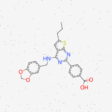 CCCc1cc2c(NCc3ccc4c(c3)OCO4)nc(-c3ccc(C(=O)O)cc3)nc2s1